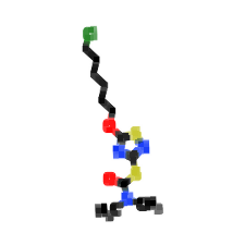 CN(C)C(=O)Sc1nsc(OCCCCCCCl)n1